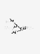 CC=C(O)C(=O)OCCCN(CCC(O)N(CCCOC(=O)C(O)=CC)CC(O)COC)CC(O)COC